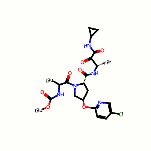 CCC[C@H](NC(=O)[C@@H]1C[C@@H](Oc2ccc(Cl)cn2)CN1C(=O)C(NC(=O)OC(C)(C)C)C(C)(C)C)C(=O)C(=O)NC1CC1